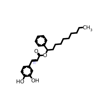 CCCCCCCCCC(OC(=O)/C=C/c1ccc(O)c(O)c1)c1ccccc1